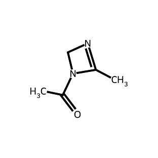 CC(=O)N1CN=C1C